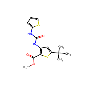 COC(=O)c1sc(C(C)(C)C)cc1NC(=O)Nc1cccs1